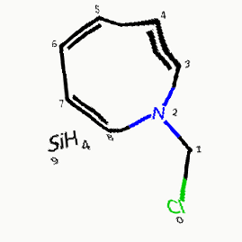 ClCN1C=CC=CC=C1.[SiH4]